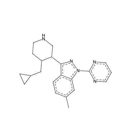 Cc1ccc2c(C3CNCCC3CC3CC3)nn(-c3ncccn3)c2c1